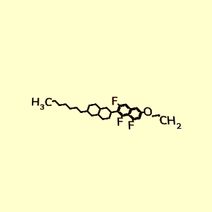 C=CCOc1cc(F)c2c(F)c(C3CCC4CC(CCCCCCC)CCC4C3)c(F)cc2c1